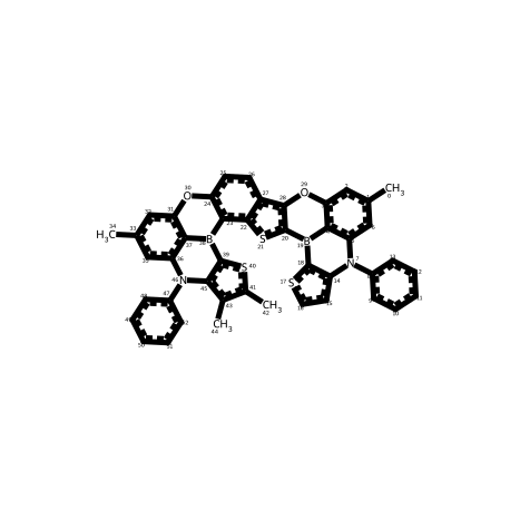 Cc1cc2c3c(c1)N(c1ccccc1)c1ccsc1B3c1sc3c4c(ccc3c1O2)Oc1cc(C)cc2c1B4c1sc(C)c(C)c1N2c1ccccc1